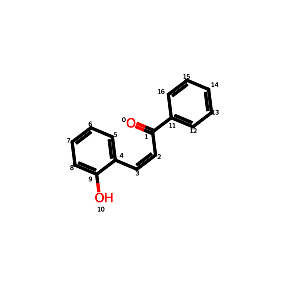 O=C(/C=C\c1ccccc1O)c1ccccc1